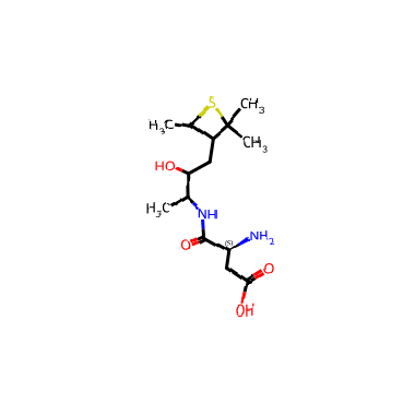 CC(NC(=O)[C@@H](N)CC(=O)O)C(O)CC1C(C)SC1(C)C